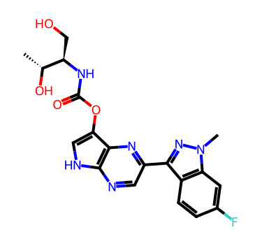 C[C@@H](O)[C@@H](CO)NC(=O)Oc1c[nH]c2ncc(-c3nn(C)c4cc(F)ccc34)nc12